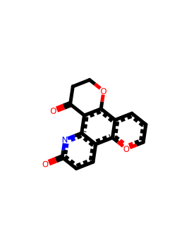 O=C1CCOc2c1c1nc(=O)ccc1c1occcc21